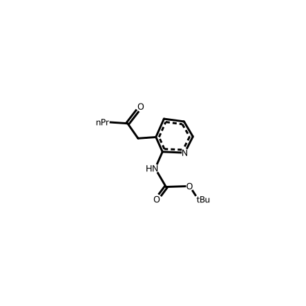 CCCC(=O)Cc1cccnc1NC(=O)OC(C)(C)C